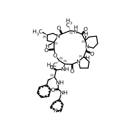 C[C@@H]1C[C@H]2C(=O)O[C@@H](C)[C@H](NC(=O)[C@H](Cc3ccccc3)NC(=O)Nc3ccncc3)C(=O)N3CCC[C@H]3C(=O)N3CCCC[C@H]3C(=O)N[C@@H](C)C(=O)N2C1